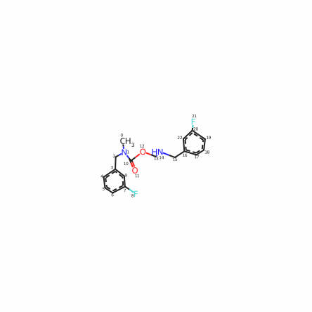 CN(Cc1cccc(F)c1)C(=O)OCNCc1cccc(F)c1